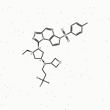 CC[C@@H]1C[C@H](N(CCC(F)(F)F)C2COC2)C[C@@H]1c1nnc2cnc3c(ccn3S(=O)(=O)c3ccc(C)cc3)n12